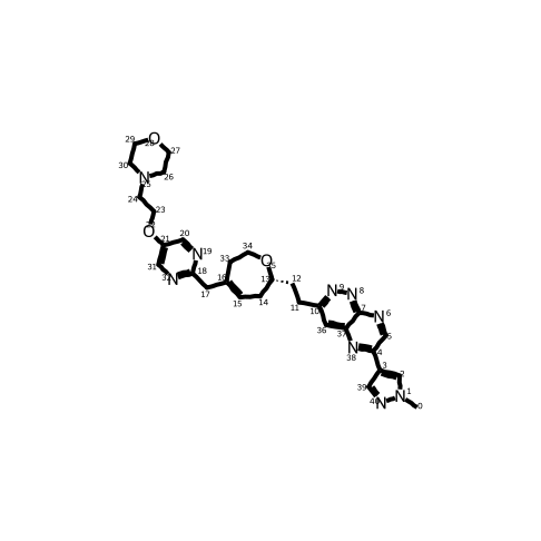 Cn1cc(-c2cnc3nnc(CC[C@@H]4CC=C(Cc5ncc(OCCN6CCOCC6)cn5)CCO4)cc3n2)cn1